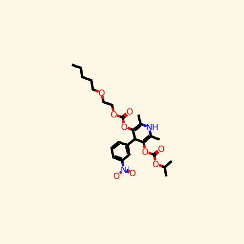 CCCCCOCCOC(=O)OC1=C(C)NC(C)=C(OC(=O)OC(C)C)C1c1cccc([N+](=O)[O-])c1